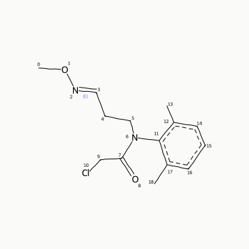 CO/N=C/CCN(C(=O)CCl)c1c(C)cccc1C